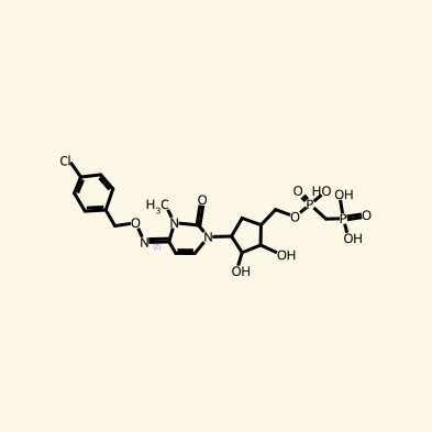 Cn1c(=O)n(C2CC(COP(=O)(O)CP(=O)(O)O)C(O)C2O)cc/c1=N/OCc1ccc(Cl)cc1